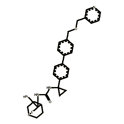 CCCC1(NC(=O)NC2(c3ccc(-c4ccc(COCc5cccnc5)cc4)cc3)CC2)CN2CCC1CC2